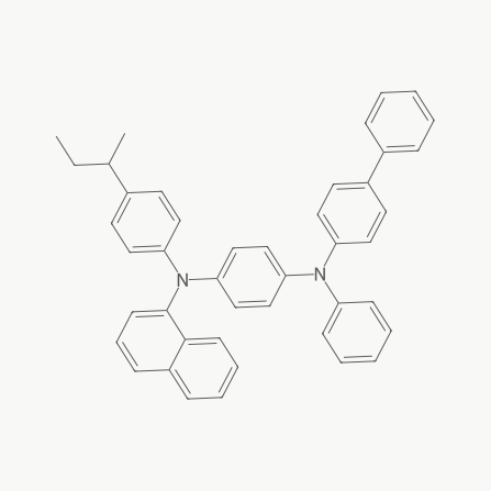 CCC(C)c1ccc(N(c2ccc(N(c3ccccc3)c3ccc(-c4ccccc4)cc3)cc2)c2cccc3ccccc23)cc1